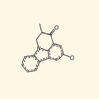 CC1Cn2c3ccccc3c3cc(Cl)cc(c32)C1=O